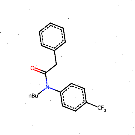 CCCCN(C(=O)Cc1ccccc1)c1ccc(C(F)(F)F)cc1